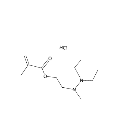 C=C(C)C(=O)OCCN(C)N(CC)CC.Cl